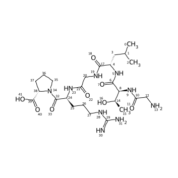 CC(C)C[C@H](NC(=O)[C@@H](NC(=O)CN)[C@@H](C)O)C(=O)NCC(=O)N[C@@H](CCCNC(=N)N)C(=O)N1CCC[C@H]1C(=O)O